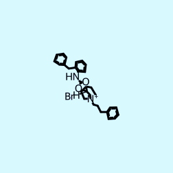 O=C(Nc1ccccc1Cc1ccccc1)O[C@H]1C[N+]2(CCCc3ccccc3)CCC1CC2.[Br-]